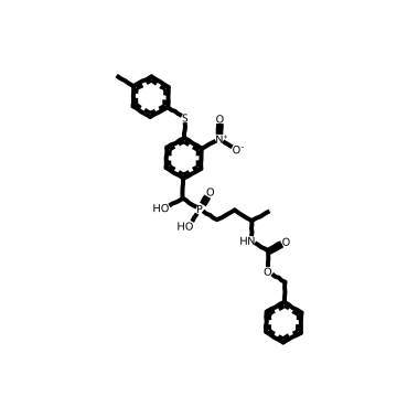 Cc1ccc(Sc2ccc(C(O)P(=O)(O)CCC(C)NC(=O)OCc3ccccc3)cc2[N+](=O)[O-])cc1